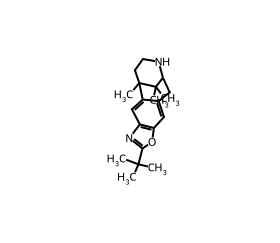 CC(C)(C)c1nc2cc3c(cc2o1)CC1NCCC3(C)C1(C)C